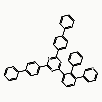 c1ccc(-c2ccc(-c3nc(-c4ccc(-c5ccccc5)cc4)nc(-c4cccc(-c5cccnc5)c4-c4ccccc4)n3)cc2)cc1